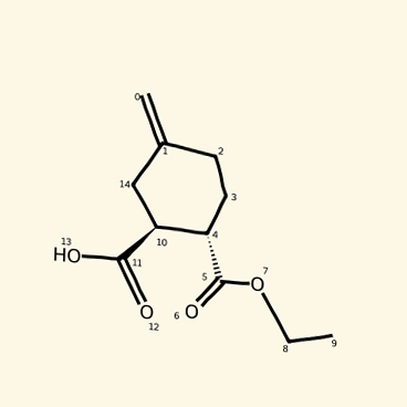 C=C1CC[C@H](C(=O)OCC)[C@@H](C(=O)O)C1